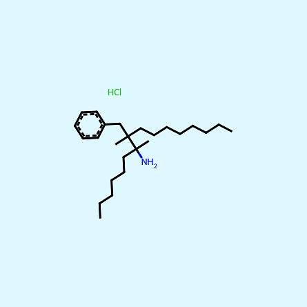 CCCCCCCCC(C)(Cc1ccccc1)C(C)(N)CCCCCC.Cl